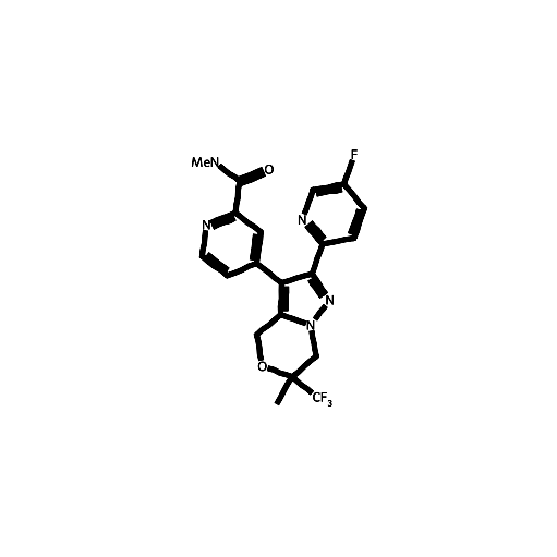 CNC(=O)c1cc(-c2c(-c3ccc(F)cn3)nn3c2COC(C)(C(F)(F)F)C3)ccn1